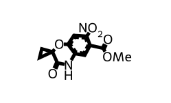 COC(=O)c1cc2c(cc1[N+](=O)[O-])OC1(CC1)C(=O)N2